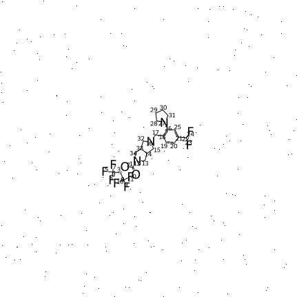 O=C(OC(C(F)(F)F)C(F)(F)F)N1CC2CN(Cc3ccc(C(F)F)cc3N3CCCC3)CC2C1